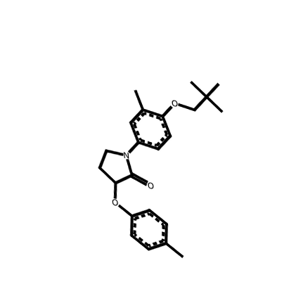 Cc1ccc(OC2CCN(c3ccc(OCC(C)(C)C)c(C)c3)C2=O)cc1